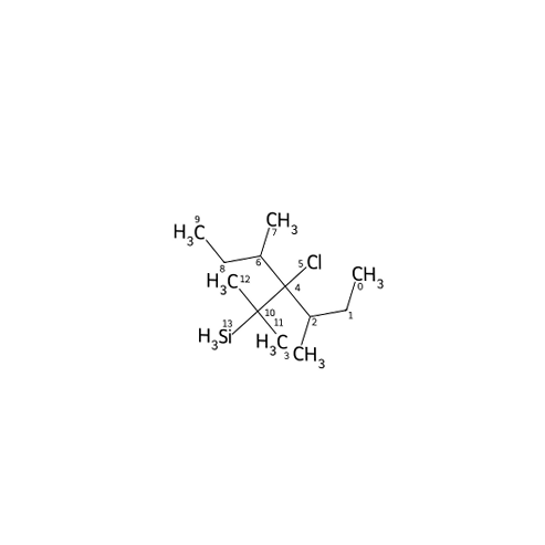 CCC(C)C(Cl)(C(C)CC)C(C)(C)[SiH3]